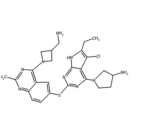 CCc1[nH]c2nc(Sc3ccc4nc(C)nc(N5CC(CN)C5)c4c3)nc(N3CCC(N)C3)c2c1Cl